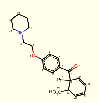 CC(C)C1(C(=O)c2ccc(OCCN3CCCCC3)cc2)C=CC=CC1C(=O)O